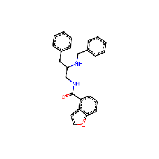 O=C(NCC(Cc1ccccc1)NCc1ccccc1)c1cccc2occc12